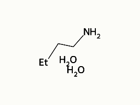 CCCCN.O.O